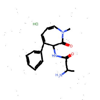 CC(N)C(=O)NC1C(=O)N(C)C=CC=C1c1ccccc1.Cl